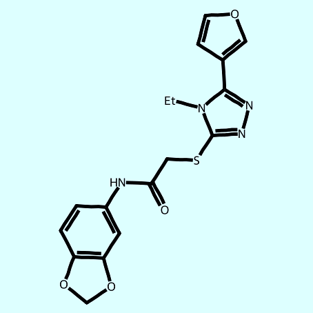 CCn1c(SCC(=O)Nc2ccc3c(c2)OCO3)nnc1-c1ccoc1